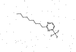 CCCCCCCCCc1nccc(C(F)(F)F)n1